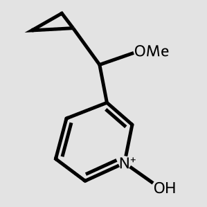 COC(c1ccc[n+](O)c1)C1CC1